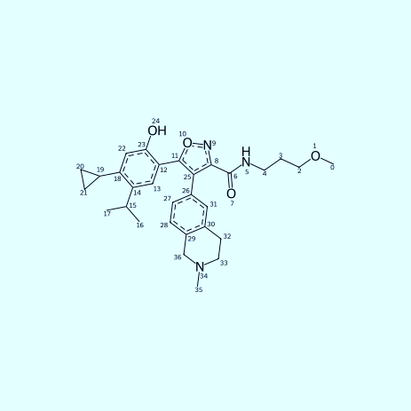 COCCCNC(=O)c1noc(-c2cc(C(C)C)c(C3CC3)cc2O)c1-c1ccc2c(c1)CCN(C)C2